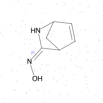 O/N=C1/NC2C=CC1C2